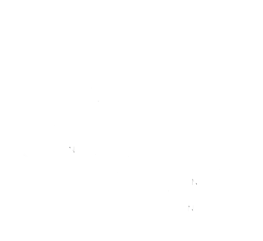 c1ccc(-c2ccc(C3(c4ccc(-c5ccccc5)cc4)c4ccc(-c5ccc6ccc(-c7nc(-c8ccccc8)c8ccccc8n7)cc6c5)c5c4-c4c3ccc3c6ccccc6n(c43)-c3ccccc3-5)cc2)cc1